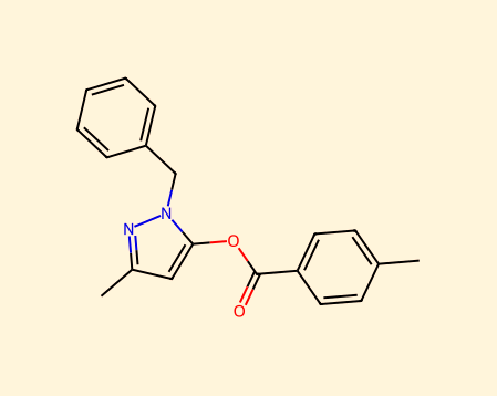 Cc1ccc(C(=O)Oc2cc(C)nn2Cc2ccccc2)cc1